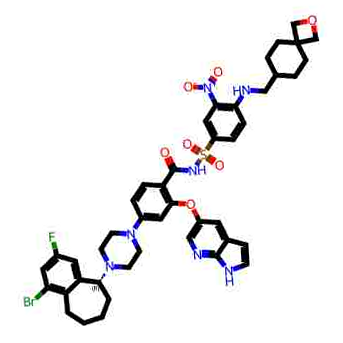 O=C(NS(=O)(=O)c1ccc(NCC2CCC3(CC2)COC3)c([N+](=O)[O-])c1)c1ccc(N2CCN([C@@H]3CCCCc4c(Br)cc(F)cc43)CC2)cc1Oc1cnc2[nH]ccc2c1